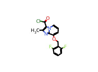 Cc1nc2c(OCc3c(F)cccc3F)cccn2c1C(=O)Cl